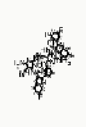 CC(Nc1nc(N)nc(N)c1C#N)c1cc2ccc(F)cc2nc1-c1cccc(Nc2nc(N)nc(N[C@@H](C)c3cc4ccc(F)cc4nc3-c3cc(F)cc(F)c3)c2C#N)n1